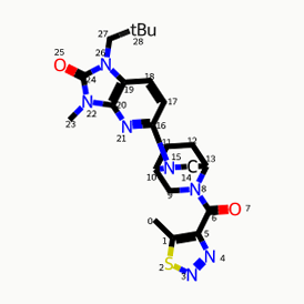 Cc1snnc1C(=O)N1CC2CCC1CN2c1ccc2c(n1)n(C)c(=O)n2CC(C)(C)C